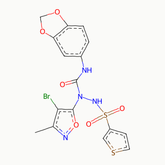 Cc1noc(N(NS(=O)(=O)c2ccsc2)C(=O)Nc2ccc3c(c2)OCO3)c1Br